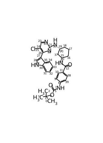 CC(C)(C)OC(=O)Nc1ccc(C(=O)N[C@H]2CCC[C@@H](Nc3ncc(Cl)c(-c4c[nH]c5ccccc45)n3)C2)cc1